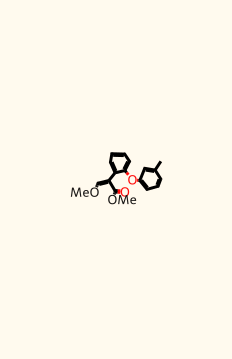 COC=C(C(=O)OC)c1ccccc1Oc1cccc(C)c1